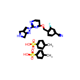 Cc1ccc(S(=O)(=O)O)cc1.Cc1ccc(S(=O)(=O)O)cc1.N#Cc1ccc(COc2ccnc(-n3cc4c(n3)CNC4)n2)c(F)c1